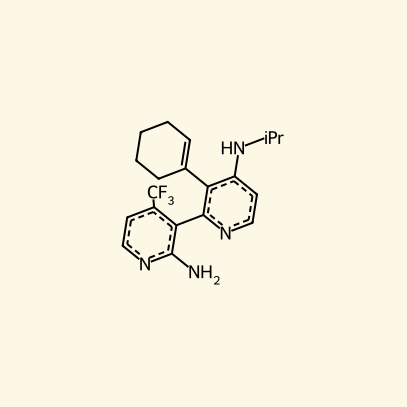 CC(C)Nc1ccnc(-c2c(C(F)(F)F)ccnc2N)c1C1=CCCCC1